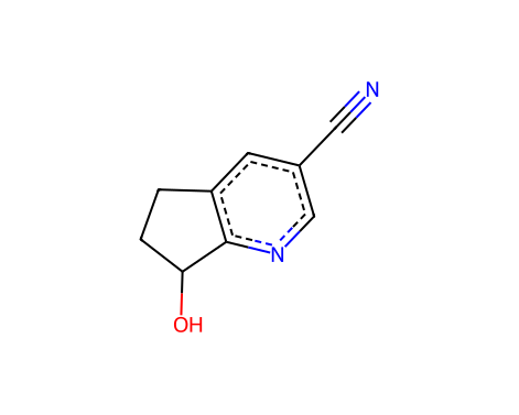 N#Cc1cnc2c(c1)CCC2O